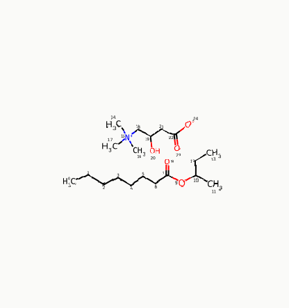 CCCCCCCC(=O)OC(C)CC.C[N+](C)(C)CC(O)CC(=O)[O-]